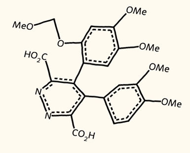 COCOc1cc(OC)c(OC)cc1-c1c(C(=O)O)nnc(C(=O)O)c1-c1ccc(OC)c(OC)c1